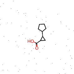 O=C(O)C1CC1C1CCCC1